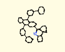 c1ccc(-c2cccc(-c3c4ccccc4c(-c4cccc(-c5ccccc5)c4)c4cc(-c5nc6ccccc6c6ccccc56)ccc34)c2)cc1